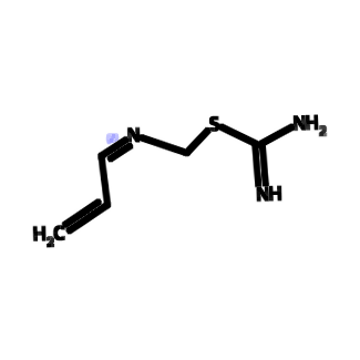 C=C/C=N\CSC(=N)N